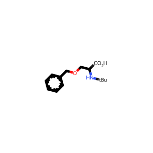 CC(C)(C)NC(COCc1ccccc1)C(=O)O